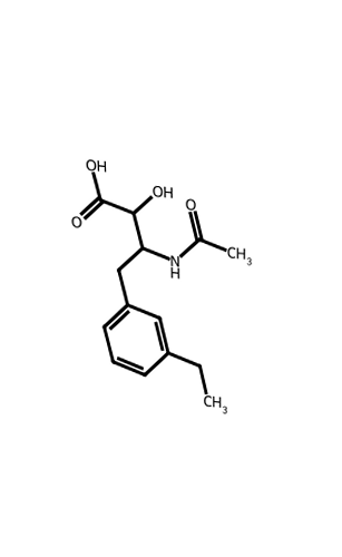 CCc1cccc(CC(NC(C)=O)C(O)C(=O)O)c1